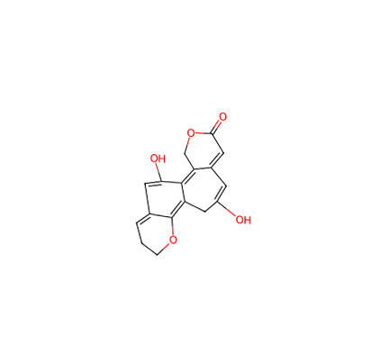 O=C1C=C2C=C(O)Cc3c4c(cc(O)c3=C2CO1)=CCCO4